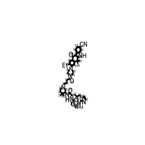 CCc1cc2c(cc1N1CCN(C(=O)CCCN3CCC(C)(C)[C@H](NC(=O)[C@H](CCCn4ccnc4N)NC(=O)OC(C)(C)C)C3)CC1)C(C)(C)c1[nH]c3cc(C#N)ccc3c1C2=O